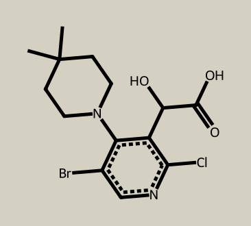 CC1(C)CCN(c2c(Br)cnc(Cl)c2C(O)C(=O)O)CC1